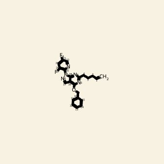 C=CCCCc1nc(OCc2ccccc2)c2cnn(-c3ncc(F)cc3F)c2n1